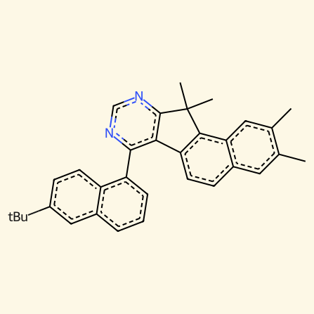 Cc1cc2ccc3c(c2cc1C)C(C)(C)c1ncnc(-c2cccc4cc(C(C)(C)C)ccc24)c1-3